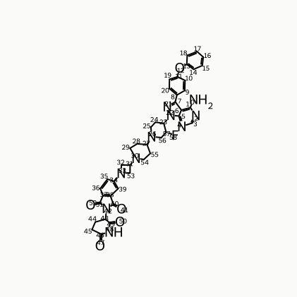 Nc1ncnc2c1c(-c1ccc(Oc3ccccc3)cc1)nn2[C@@H]1CCN(C2CCN(C3CN(c4ccc5c(c4)C(=O)N(C4CCC(=O)NC4=O)C5=O)C3)CC2)C[C@@H]1F